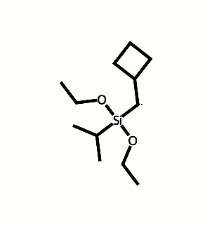 CCO[Si]([CH]C1CCC1)(OCC)C(C)C